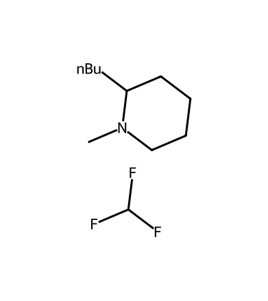 CCCCC1CCCCN1C.FC(F)F